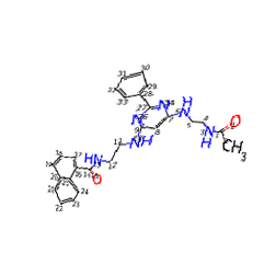 CC(=O)NCCNc1cc(NCCNC(=O)c2cccc3ccccc23)nc(-c2ccccc2)n1